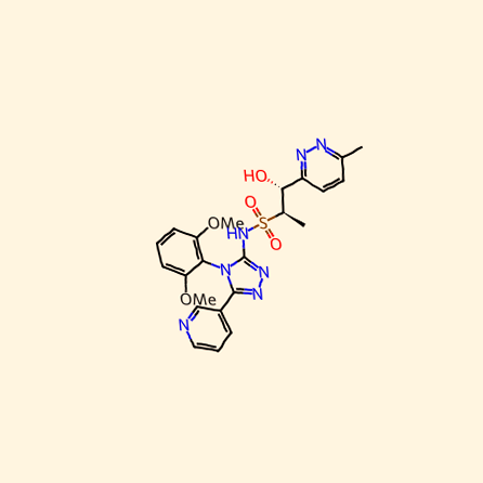 COc1cccc(OC)c1-n1c(NS(=O)(=O)[C@H](C)[C@H](O)c2ccc(C)nn2)nnc1-c1cccnc1